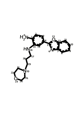 Nc1ccc(-c2nc3ccccc3o2)cc1NCCCN1CCOCC1